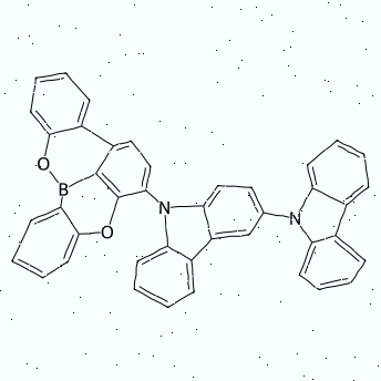 c1ccc2c(c1)Oc1c(-n3c4ccccc4c4cc(-n5c6ccccc6c6ccccc65)ccc43)ccc3c1B2Oc1ccccc1-3